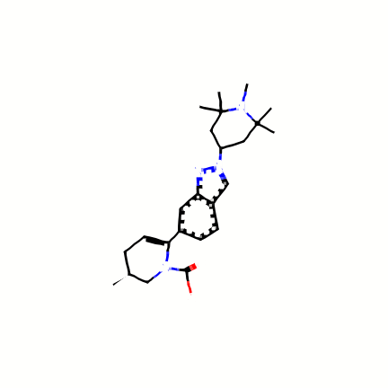 C[C@H]1CC=C(c2ccc3cn(C4CC(C)(C)N(C)C(C)(C)C4)nc3c2)N(C(=O)O)C1